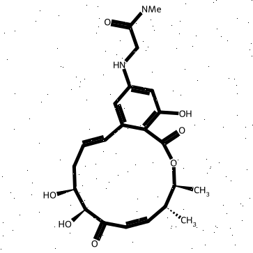 CNC(=O)CNc1cc(O)c2c(c1)/C=C/C[C@H](O)[C@H](O)C(=O)/C=C\[C@@H](C)[C@H](C)OC2=O